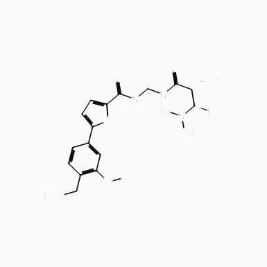 CCCCC[C@@H](C(=O)NCNC(=O)c1ccc(-c2ccc(CC(=O)O)c(OCC)c2)o1)[C@@H](CC)N(O)C=O